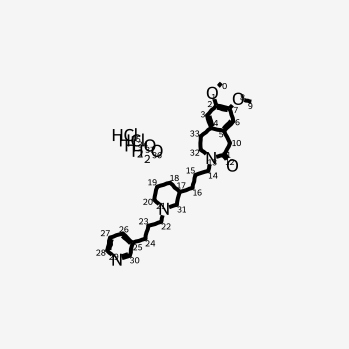 COc1cc2c(cc1OC)CC(=O)N(CCCC1CCCN(CCCc3cccnc3)C1)CC2.Cl.Cl.O.O